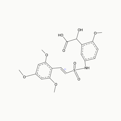 COc1cc(OC)c(/C=C/S(=O)(=O)Nc2ccc(OC)c(C(O)C(=O)O)c2)c(OC)c1